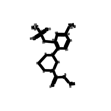 CC(C)(C)OC(=O)N1CCCC(c2ccc(N)cc2CS(C)(=O)=O)C1